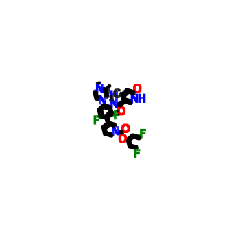 C[C@H]1CN(c2cc(F)c(C3=CCCN(C(=O)OC(CCF)CCF)C3)c(F)c2NC(=O)c2c[nH]c(=O)cc2C(F)(F)F)CCN1C